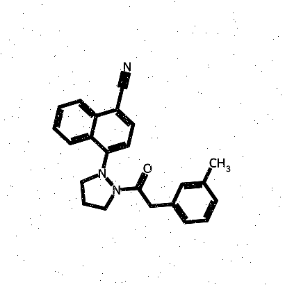 Cc1cccc(CC(=O)N2CCCN2c2ccc(C#N)c3ccccc23)c1